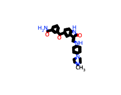 CN1CCN(c2ccc(NC=C3C(=O)Nc4ccc(C(=O)c5cccc(C(N)=O)c5)cc43)cc2)CC1